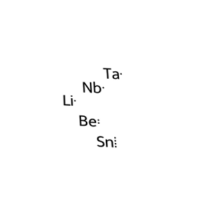 [Be].[Li].[Nb].[Sn].[Ta]